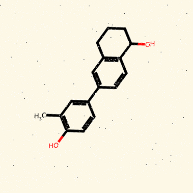 Cc1cc(-c2ccc3c(c2)CCCC3O)ccc1O